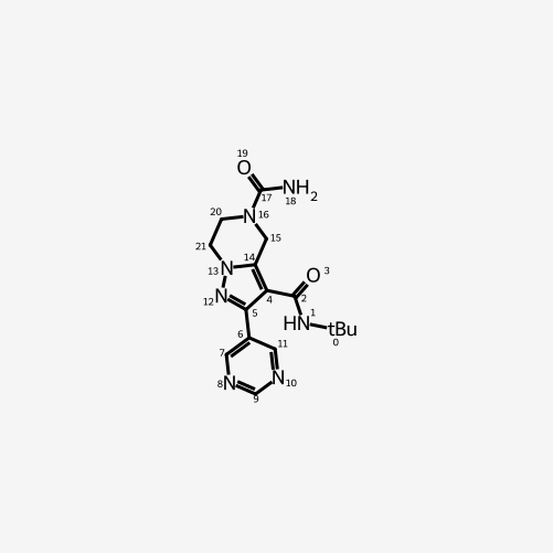 CC(C)(C)NC(=O)c1c(-c2cncnc2)nn2c1CN(C(N)=O)CC2